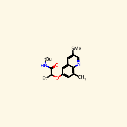 CCC(Oc1cc(C)c2ncc(SC)cc2c1)C(=O)NC(C)(C)C